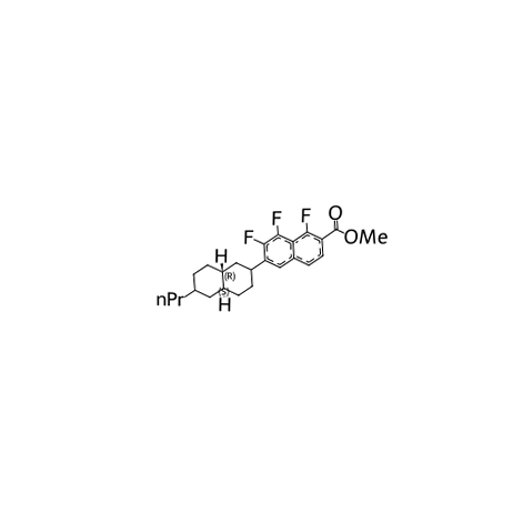 CCCC1CC[C@@H]2CC(c3cc4ccc(C(=O)OC)c(F)c4c(F)c3F)CC[C@H]2C1